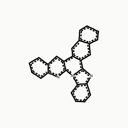 c1ccc2cc3c(cc2c1)c1cc2ccccc2nc1n1c2ccccc2nc31